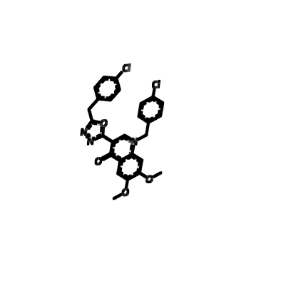 COc1cc2c(=O)c(-c3nnc(Cc4ccc(Cl)cc4)o3)cn(Cc3ccc(Cl)cc3)c2cc1OC